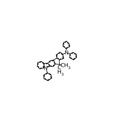 CC1(C)c2cc(N(c3ccccc3)c3ccccc3)ccc2-c2cc3c4ccccc4n(-c4ccccc4)c3cc21